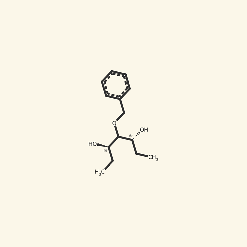 CC[C@@H](O)C(OCc1ccccc1)[C@H](O)CC